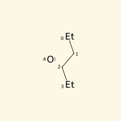 CCCCCC.[O]